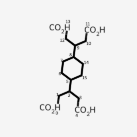 O=C(O)CC(CC(=O)O)C1CCC(C(CC(=O)O)CC(=O)O)CC1